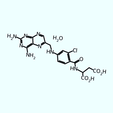 Nc1nc(N)c2nc(CNc3ccc(C(=O)NC(CC(=O)O)C(=O)O)c(Cl)c3)cnc2n1.O